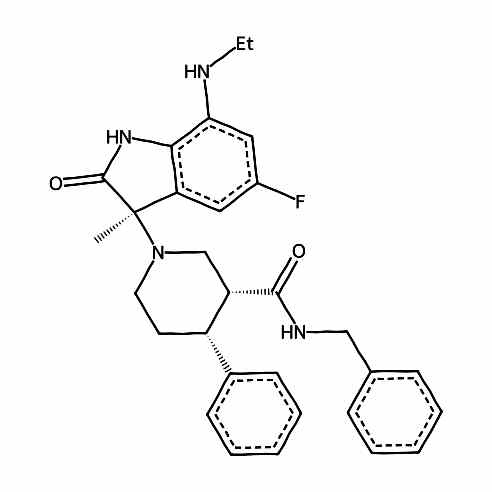 CCNc1cc(F)cc2c1NC(=O)[C@]2(C)N1CC[C@@H](c2ccccc2)[C@@H](C(=O)NCc2ccccc2)C1